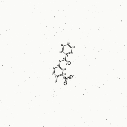 Cc1ccc(CC(=O)c2ccccc2)cc1[N+](=O)[O-]